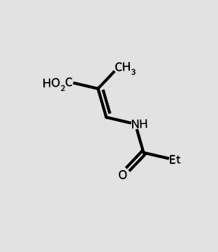 CCC(=O)NC=C(C)C(=O)O